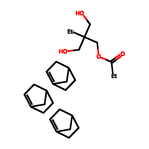 C1=C2CCC(C1)C2.C1=C2CCC(C1)C2.C1=C2CCC(C1)C2.CCC(=O)OCC(CC)(CO)CO